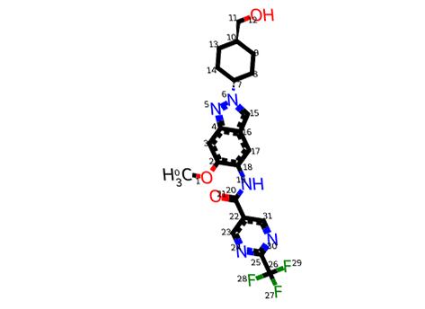 COc1cc2nn([C@H]3CC[C@H](CO)CC3)cc2cc1NC(=O)c1cnc(C(F)(F)F)nc1